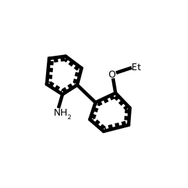 CCOc1ccccc1-c1ccccc1N